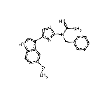 COc1ccc2[nH]cc(-c3csc(N(Cc4ccccc4)C(=N)N)n3)c2c1